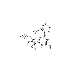 C[C@H]1COCCN1c1cc(C2(S(=O)(=O)CC(=O)O)CC2)nc(Cl)n1